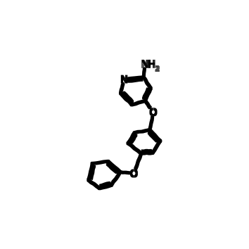 Nc1cc(Oc2ccc(Oc3ccccc3)cc2)ccn1